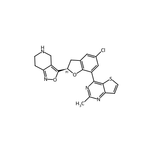 Cc1nc(-c2cc(Cl)cc3c2O[C@@H](c2onc4c2CNCC4)C3)c2sccc2n1